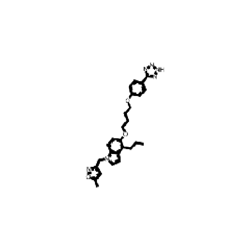 CCCc1c(OCCCCOc2ccc(-c3nn[nH]n3)cc2)ccc2c1ccn2Cc1cc(C)on1